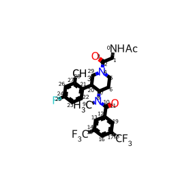 CC(=O)NCC(=O)N1CCC(N(C)C(=O)c2cc(C(F)(F)F)cc(C(F)(F)F)c2)C(c2ccc(F)cc2C)C1